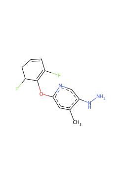 Cc1cc(OC2=C(F)C=CCC2F)ncc1NN